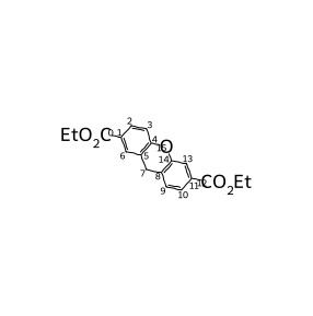 CCOC(=O)c1ccc2c(c1)Cc1ccc(C(=O)OCC)cc1O2